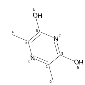 Cc1nc(C)c(O)nc1O